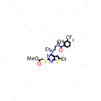 CCc1cc2c(N(CC)CCN(C)C(=O)c3cccc(C(F)(F)F)c3)nc(SCC(=O)OC)nc2s1